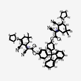 CC1(C)CC(N2CCCC2)=C(C#N)/C(=C(\C#N)C(=O)Oc2ccc(C3(c4ccc(OC(=O)/C(C#N)=C5\CC(C)(C)CC(N6CCCC6)=C5C#N)cc4)c4ccccc4-c4ccccc43)cc2)C1